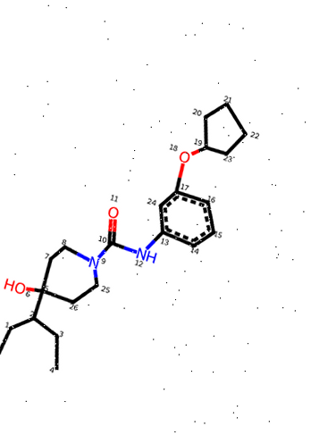 CCC(CC)C1(O)CCN(C(=O)Nc2cccc(OC3CCCC3)c2)CC1